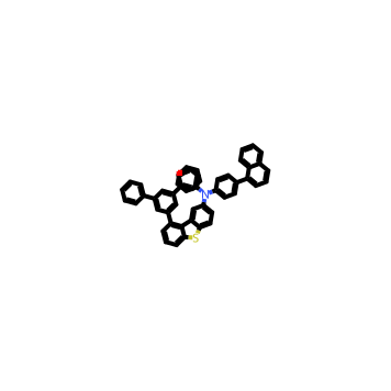 c1ccc(-c2cc(-c3ccccc3)cc(-c3cccc4sc5ccc(N(c6ccccc6)c6ccc(-c7cccc8ccccc78)cc6)cc5c34)c2)cc1